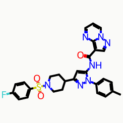 Cc1ccc(-n2nc(C3CCN(S(=O)(=O)c4ccc(F)cc4)CC3)cc2NC(=O)c2cnn3cccnc23)cc1